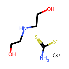 NC(=S)[S-].OCCNCCO.[Cs+]